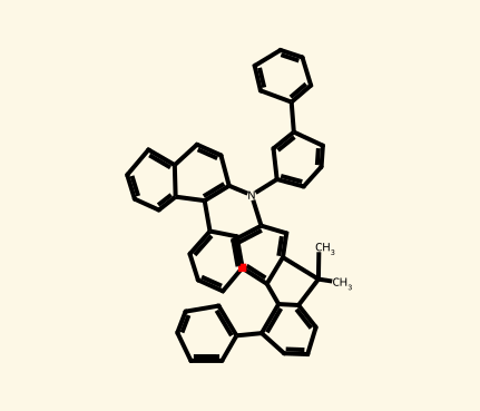 CC1(C)c2cc(N(c3cccc(-c4ccccc4)c3)c3ccc4ccccc4c3-c3ccccc3)ccc2-c2c(-c3ccccc3)cccc21